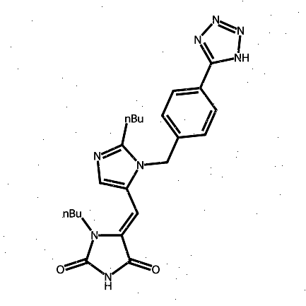 CCCCc1ncc(/C=C2/C(=O)NC(=O)N2CCCC)n1Cc1ccc(-c2nnn[nH]2)cc1